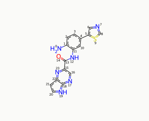 Nc1ccc(-c2cncs2)cc1NC(=O)c1cnc2[nH]ccc2n1